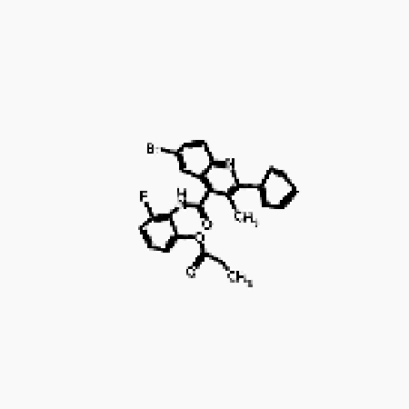 CCC(=O)Oc1cccc(F)c1NC(=O)c1c(C)c(-c2ccccc2)nc2ccc(Br)cc12